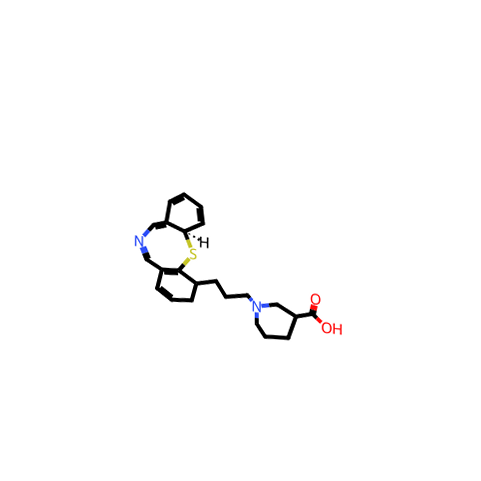 O=C(O)C1CCCN(CCCC2CC=CC3=C2S[C@@H]2C=CC=C/C2=C/N=C\3)C1